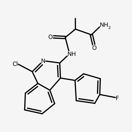 C[C](C(N)=O)C(=O)Nc1nc(Cl)c2ccccc2c1-c1ccc(F)cc1